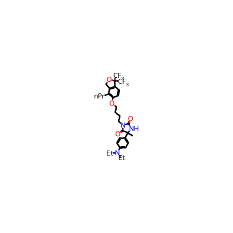 CCCc1c(OCCCCN2C(=O)NC(C)(c3ccc(N(CC)CC)cc3)C2=O)ccc2c1COC2(C(F)(F)F)C(F)(F)F